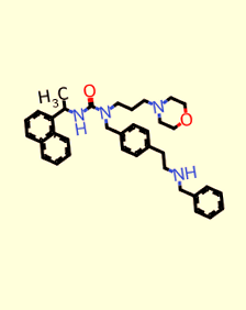 CC(NC(=O)N(CCCN1CCOCC1)Cc1ccc(CCNCc2ccccc2)cc1)c1cccc2ccccc12